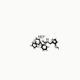 COc1ccsc1CNCC[C@@]1(c2ccccn2)CCOC2(CCCC2)C1.Cl